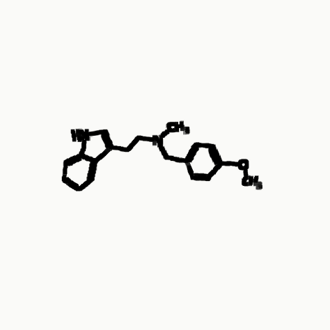 COc1ccc(CN(C)CCc2c[nH]c3ccccc23)cc1